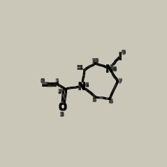 C=CC(=O)N1CCCN(I)CC1